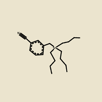 CCC[CH2][Sn]([CH2]CCC)([CH2]CCC)[CH2]c1cccc(C#N)c1